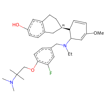 CCN(Cc1ccc(OCC(C)(C)N(C)C)c(F)c1)C1C=C(OC)C=CC1[C@@H]1CCc2cc(O)ccc2C1